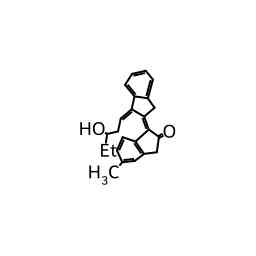 CCC(O)C/C=C1\C(=C2\C(=O)Cc3cc(C)ccc32)Cc2ccccc21